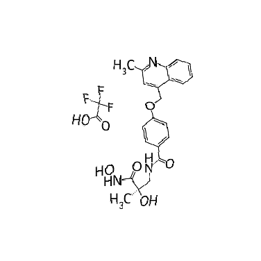 Cc1cc(COc2ccc(C(=O)NC[C@@](C)(O)C(=O)NO)cc2)c2ccccc2n1.O=C(O)C(F)(F)F